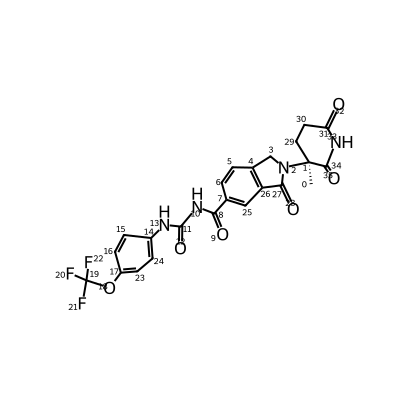 C[C@]1(N2Cc3ccc(C(=O)NC(=O)Nc4ccc(OC(F)(F)F)cc4)cc3C2=O)CCC(=O)NC1=O